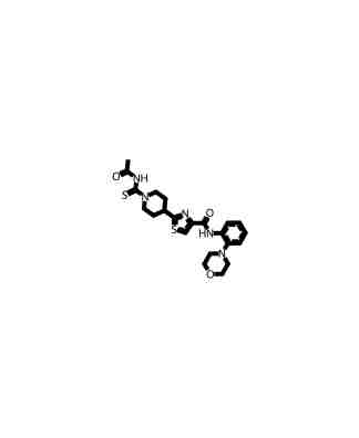 CC(=O)NC(=S)N1CCC(c2nc(C(=O)Nc3ccccc3N3CCOCC3)cs2)CC1